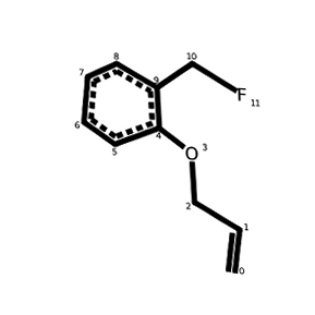 C=CCOc1ccccc1CF